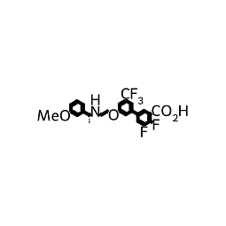 COc1cccc([C@@H](C)NCCOc2cc(-c3cc(F)c(F)c(C(=O)O)c3)cc(C(F)(F)F)c2)c1